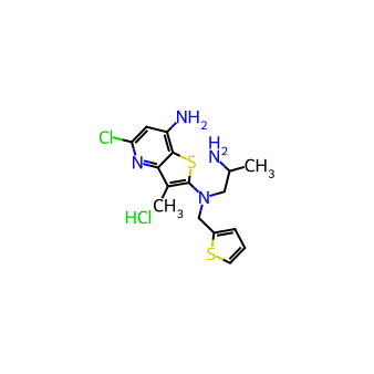 Cc1c(N(Cc2cccs2)CC(C)N)sc2c(N)cc(Cl)nc12.Cl